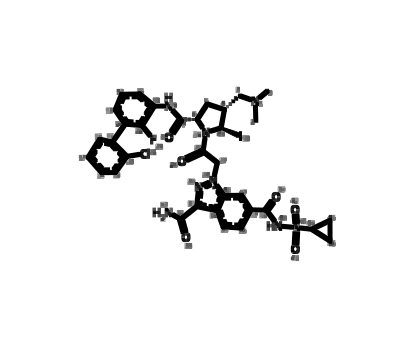 CN(C)C[C@H]1C[C@@H](C(=O)Nc2cccc(-c3ccccc3Cl)c2F)N(C(=O)Cn2nc(C(N)=O)c3ccc(C(=O)NS(=O)(=O)C4CC4)cc32)[C@@H]1I